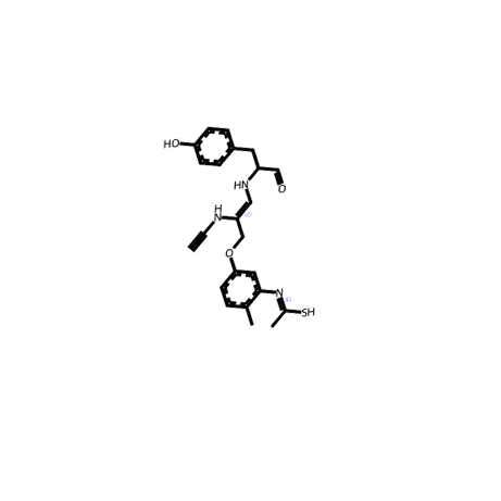 C#CN/C(=C\NC(C=O)Cc1ccc(O)cc1)COc1ccc(C)c(/N=C(\C)S)c1